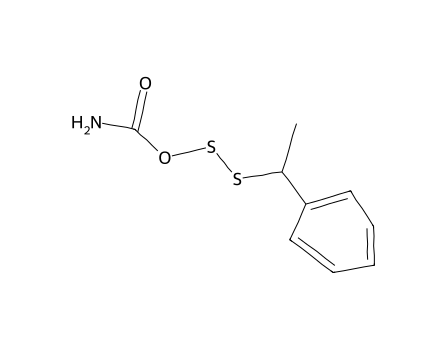 CC(SSOC(N)=O)c1ccccc1